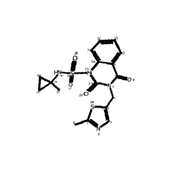 Cc1ncc(Cn2c(=O)c3ccccc3n(S(=O)(=O)NC3(C)CC3)c2=O)s1